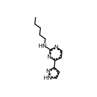 CCCCCNc1nccc(-c2cc[nH]n2)n1